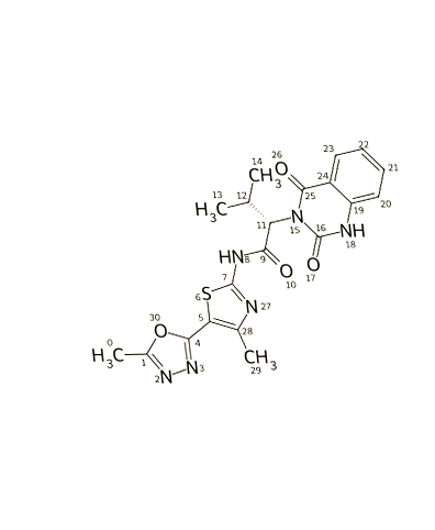 Cc1nnc(-c2sc(NC(=O)[C@H](C(C)C)n3c(=O)[nH]c4ccccc4c3=O)nc2C)o1